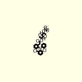 O=C(Cc1ccccc1N(c1ccccc1)c1c(Cl)cccc1Cl)O[C@H]1CO[C@H]2[C@H]1OC[C@H]2O[N+](=O)[O-]